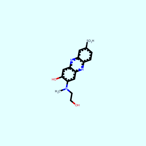 CN(CCO)c1cc2nc3ccc(S(=O)(=O)O)cc3nc2cc1O